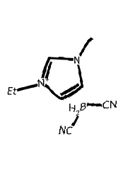 CC[n+]1ccn(C)c1.N#C[BH2-]C#N